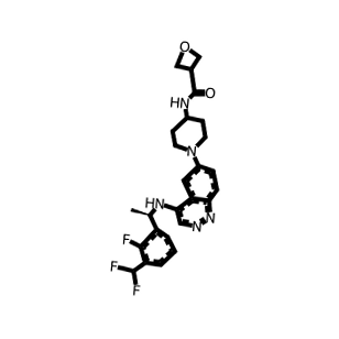 C[C@@H](Nc1cnnc2ccc(N3CCC(NC(=O)C4COC4)CC3)cc12)c1cccc(C(F)F)c1F